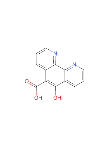 O=C(O)c1c(O)c2cccnc2c2ncccc12